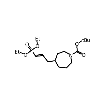 CCOP(=O)(C=CCC1CCCN(C(=O)OC(C)(C)C)CC1)OCC